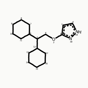 c1cc(OCC(C2CCCCC2)C2CCCCC2)n[nH]1